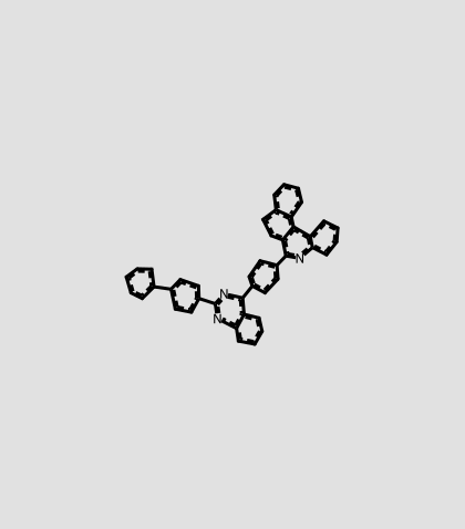 c1ccc(-c2ccc(-c3nc(-c4ccc(-c5nc6ccccc6c6c5ccc5ccccc56)cc4)c4ccccc4n3)cc2)cc1